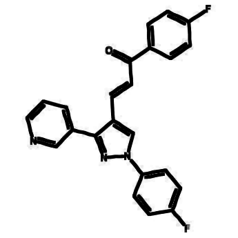 O=C(C=Cc1cn(-c2ccc(F)cc2)nc1-c1cccnc1)c1ccc(F)cc1